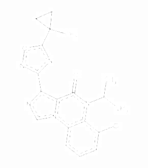 CC(C)n1c(=O)c2c(-c3noc(C4(C)CC4)n3)ncn2c2cccc(Cl)c21